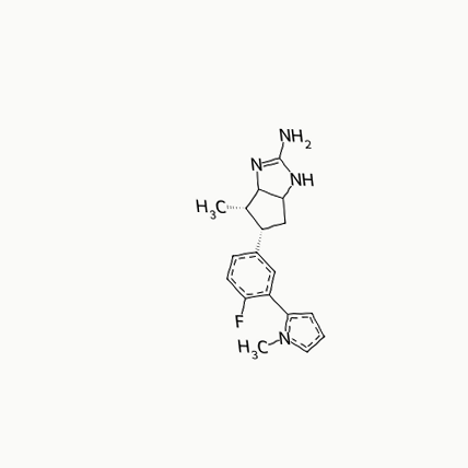 C[C@@H]1C2N=C(N)NC2C[C@@H]1c1ccc(F)c(-c2cccn2C)c1